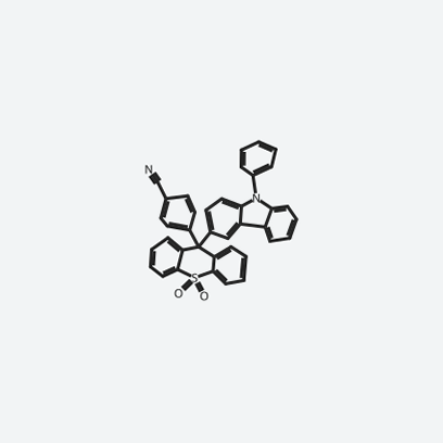 N#Cc1ccc(C2(c3ccc4c(c3)c3ccccc3n4-c3ccccc3)c3ccccc3S(=O)(=O)c3ccccc32)cc1